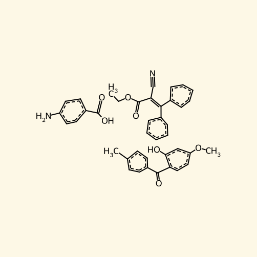 CCOC(=O)C(C#N)=C(c1ccccc1)c1ccccc1.COc1ccc(C(=O)c2ccc(C)cc2)c(O)c1.Nc1ccc(C(=O)O)cc1